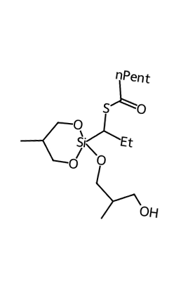 CCCCCC(=O)SC(CC)[Si]1(OCC(C)CO)OCC(C)CO1